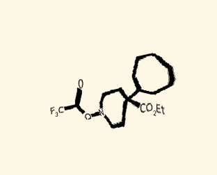 CCOC(=O)C1(C2=CCCCCC2)CCN(OC(=O)C(F)(F)F)CC1